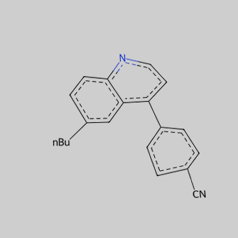 CCCCc1ccc2nccc(-c3ccc(C#N)cc3)c2c1